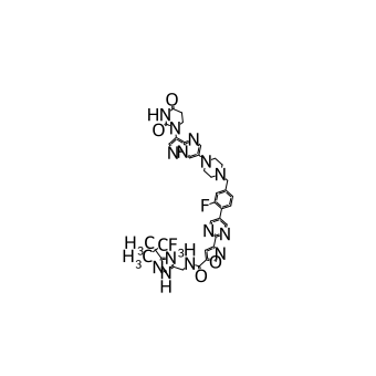 CC(C)(c1n[nH]c(CNC(=O)c2cc(-c3ncc(-c4ccc(CN5CCN(c6cnc7c(N8CCC(=O)NC8=O)cnn7c6)CC5)cc4F)cn3)no2)n1)C(F)(F)F